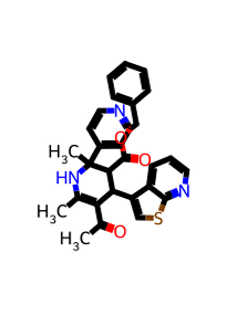 CC(=O)C1=C(C)NC(C)(c2ccncc2)C(C(=O)OCc2ccccc2)C1c1csc2ncccc12